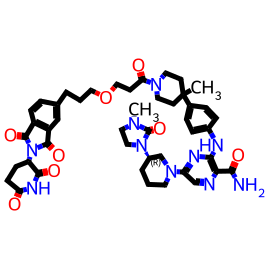 CN1CCN([C@@H]2CCCN(c3cnc(C(N)=O)c(Nc4ccc(C5(C)CCN(C(=O)CCOCCCc6ccc7c(c6)C(=O)N(C6CCC(=O)NC6=O)C7=O)CC5)cc4)n3)C2)C1=O